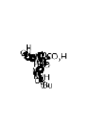 CC(C)(C)OC(=O)Nc1ncnc2cc(NC(=O)[C@H](CC(=O)O)[C@H]3OCCN(c4ccc5c(c4)NC(=O)CC5)C3=O)ccc12